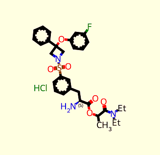 CCN(CC)C(=O)C(C)OC(=O)[C@@H](N)Cc1cccc(S(=O)(=O)N2CC(Oc3cccc(F)c3)(c3ccccc3)C2)c1.Cl